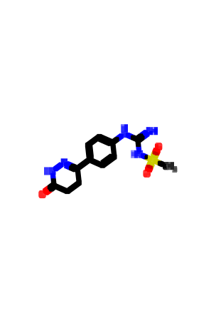 CS(=O)(=O)NC(=N)Nc1ccc(C2=NNC(=O)CC2)cc1